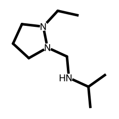 CCN1CCCN1CNC(C)C